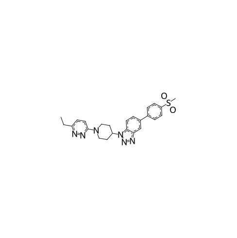 CCc1ccc(N2CCC(n3nnc4cc(-c5ccc(S(C)(=O)=O)cc5)ccc43)CC2)nn1